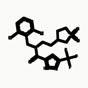 O=C(c1cc(C(F)(F)F)n[nH]1)N(CCC1CCS(=O)(=O)C1)Cc1c(Cl)cccc1Cl